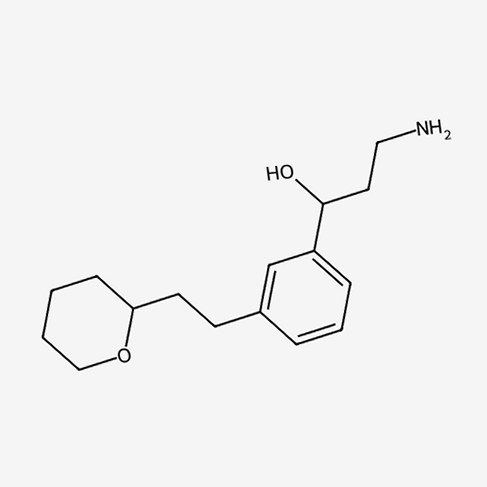 NCCC(O)c1cccc(CCC2CCCCO2)c1